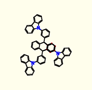 C1=C(n2c3ccccc3c3ccccc32)CCC2=C1C1(c3cccc(-n4c5ccccc5c5ccccc54)c3)c3ccccc3C2(c2cccc(-n3c4ccccc4c4ccccc43)c2)c2ccccc21